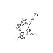 COc1nn(CCOCCOCCN)cc1Nc1nc(N2C[C@@H](F)[C@H](NC(=O)OC(C)(C)C)C2)nc2c1ncn2C